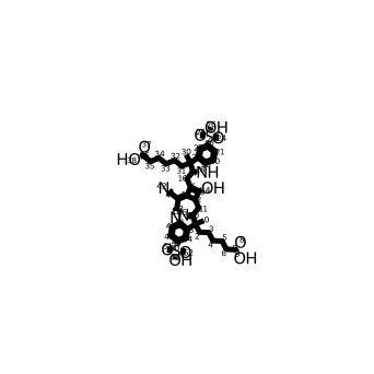 CC1(CCCCCC(=O)O)C(CC2C(O)=C(CC3Nc4ccc(S(=O)(=O)O)cc4C3(C)CCCCCC(=O)O)C2=C(C#N)C#N)=Nc2ccc(S(=O)(=O)O)cc21